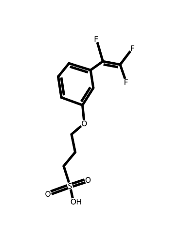 O=S(=O)(O)CCCOc1cccc(C(F)=C(F)F)c1